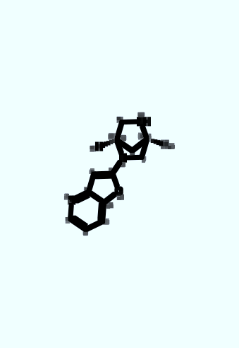 c1cnc2cc(N3C[C@H]4C[C@@H]3CN4)oc2c1